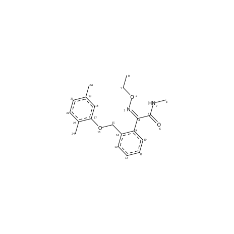 CCON=C(C(=O)NC)c1ccccc1COc1cc(C)ccc1C